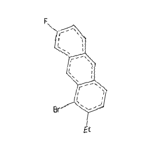 CCc1ccc2cc3ccc(F)cc3cc2c1Br